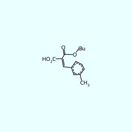 CCC(C)OC(=O)C(=Cc1cccc(C)c1)C(=O)O